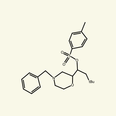 Cc1ccc(S(=O)(=O)OC(CC(C)(C)C)C2CN(Cc3ccccc3)CCO2)cc1